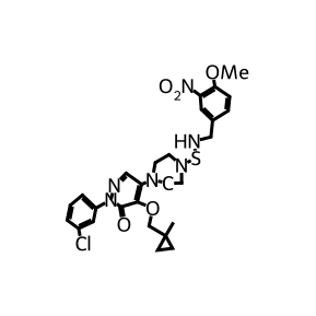 COc1ccc(CNSN2CCN(c3cnn(-c4cccc(Cl)c4)c(=O)c3OCC3(C)CC3)CC2)cc1[N+](=O)[O-]